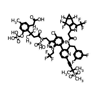 Cc1cc(CC(=O)O)c(C(C)(C)CC(=O)N(Cc2nn(CC(F)(F)F)c3c(-c4ccc(C#CC(C)(C)S(C)(=O)=O)nc4C(Cc4cc(F)cc(F)c4)NC(=O)CC4N=C(C(F)(F)F)C5=C4C(F)(F)[C@@H]4C[C@H]54)ccc(Cl)c23)[SH](=O)=O)c(OP(=O)(O)O)c1